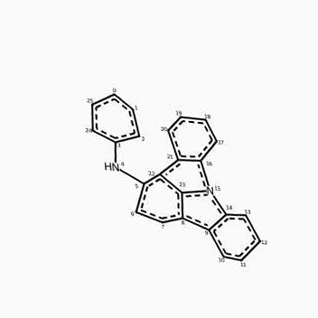 c1ccc(Nc2ccc3c4ccccc4n4c5ccccc5c2c34)cc1